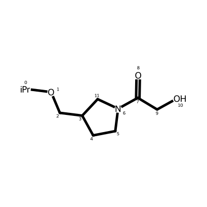 CC(C)OCC1CCN(C(=O)CO)C1